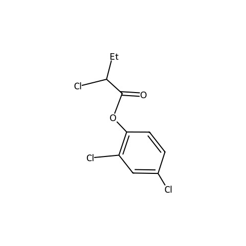 CCC(Cl)C(=O)Oc1ccc(Cl)cc1Cl